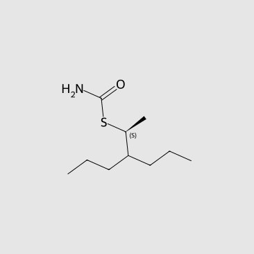 CCCC(CCC)[C@H](C)SC(N)=O